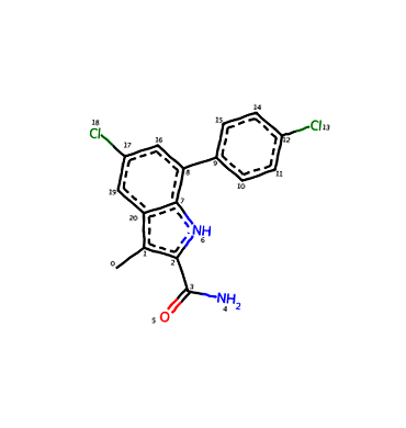 Cc1c(C(N)=O)[nH]c2c(-c3ccc(Cl)cc3)cc(Cl)cc12